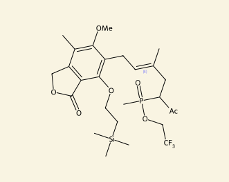 COc1c(C)c2c(c(OCC[Si](C)(C)C)c1C/C=C(\C)CC(C(C)=O)P(C)(=O)OCC(F)(F)F)C(=O)OC2